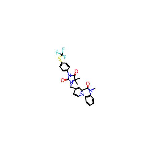 CN(C(=O)c1cc(CN2C(=O)N(c3ccc(SC(F)(F)F)cc3)C(=O)C2(C)C)ccn1)c1ccccc1